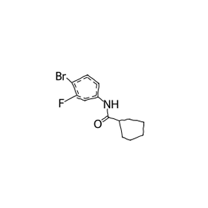 O=C(Nc1ccc(Br)c(F)c1)C1CCCCC1